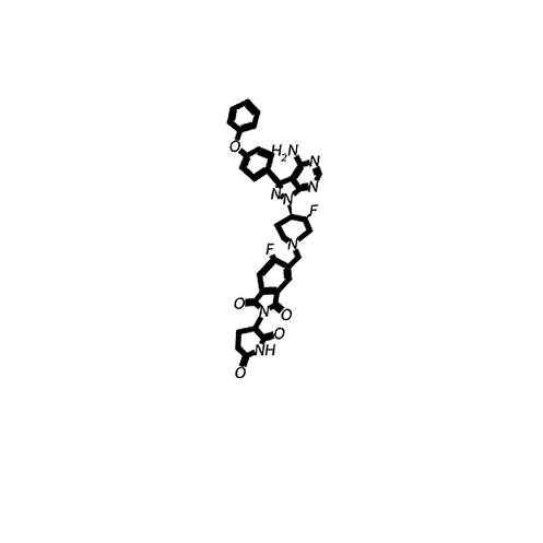 Nc1ncnc2c1c(-c1ccc(Oc3ccccc3)cc1)nn2[C@@H]1CCN(Cc2cc3c(cc2F)C(=O)N(C2CCC(=O)NC2=O)C3=O)C[C@H]1F